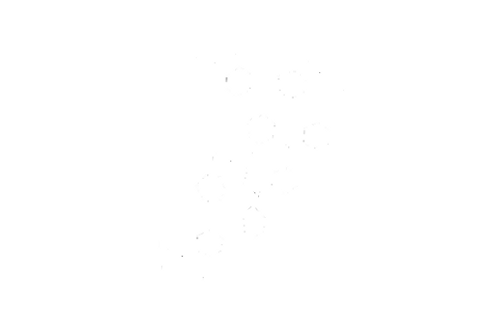 CC(C)(C)c1ccc(-c2cccc(N3C4=C(B5c6ccc(C(c7ccc(C(C)(C)C)cc7)c7ccc(C(C)(C)C)cc7)cc6N(c6ccccc6)c6cccc3c65)C(C)(C)c3ccccc34)c2)cc1